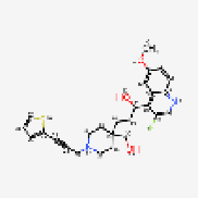 COc1ccc2ncc(F)c([C@H](O)CCC3(CO)CCN(CC#Cc4cccs4)CC3)c2c1